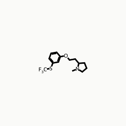 CN1CCCC1CCOc1cccc(SC(F)(F)F)c1